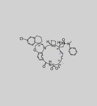 C[C@@H]1[C@@H](C)C/C=C/[C@@](O)(CC(=O)N(C)c2ccccc2)[C@@H]2CC[C@H]2CN2C[C@@]3(CCCc4cc(Cl)ccc43)COc3ccc(cc32)C(=O)NS1(=O)=O